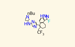 CCCCN1CCC(Nc2cnc(C3=C(CC(F)(F)F)CCCc4c3ccc3[nH]nc(F)c43)cn2)C1